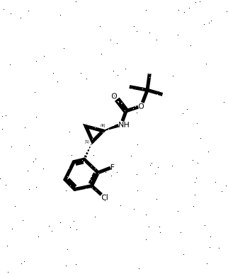 CC(C)(C)OC(=O)N[C@@H]1C[C@H]1c1cccc(Cl)c1F